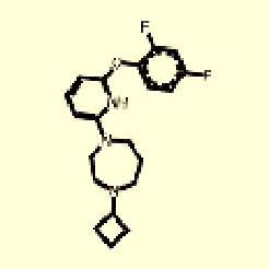 Fc1ccc(OC2C=C[C]=C(N3CCCN(C4CCC4)CC3)N2)c(F)c1